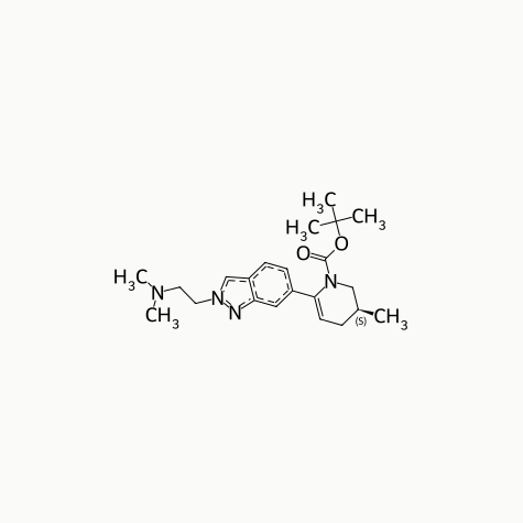 C[C@H]1CC=C(c2ccc3cn(CCN(C)C)nc3c2)N(C(=O)OC(C)(C)C)C1